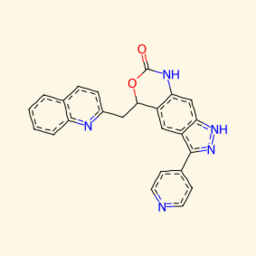 O=C1Nc2cc3[nH]nc(-c4ccncc4)c3cc2C(Cc2ccc3ccccc3n2)O1